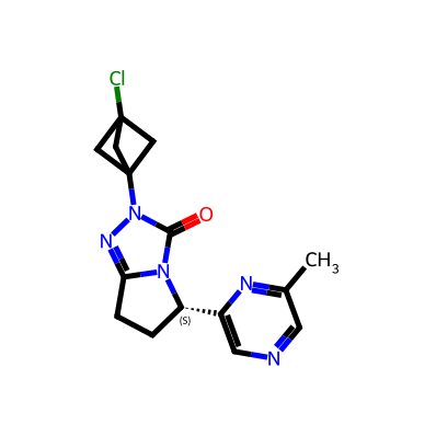 Cc1cncc([C@@H]2CCc3nn(C45CC(Cl)(C4)C5)c(=O)n32)n1